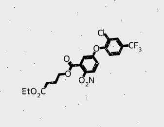 CCOC(=O)CCCOC(=O)c1cc(Oc2ccc(C(F)(F)F)cc2Cl)ccc1[N+](=O)[O-]